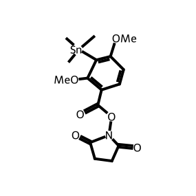 COc1ccc(C(=O)ON2C(=O)CCC2=O)c(OC)[c]1[Sn]([CH3])([CH3])[CH3]